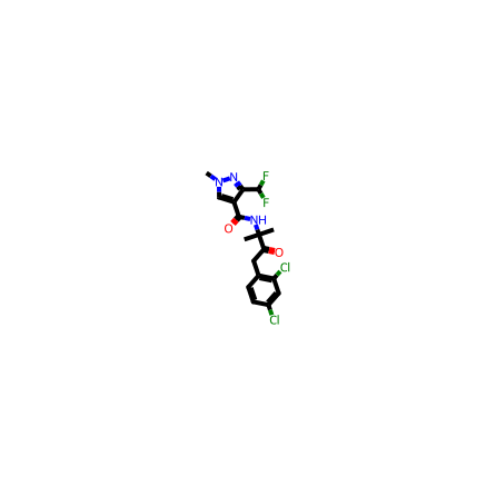 Cn1cc(C(=O)NC(C)(C)C(=O)Cc2ccc(Cl)cc2Cl)c(C(F)F)n1